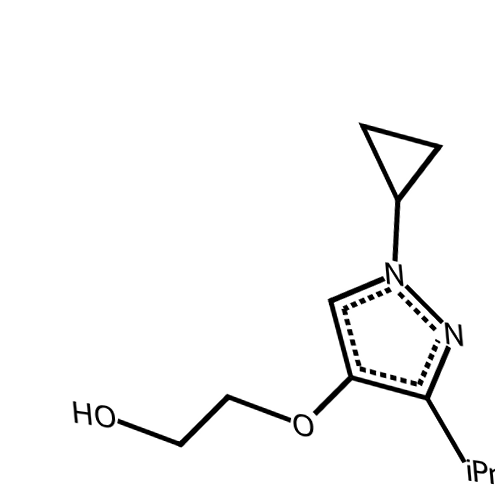 CC(C)c1nn(C2CC2)cc1OCCO